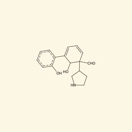 O=CC1(C2CCNC2)C=CC=C(c2ccccc2O)C1O